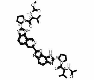 COC(=O)N[C@H](C(=O)N1CCC[C@H]1c1nc2ccc3cc(-c4nc5ccc6nc([C@@H]7CCCN7C(=O)[C@@H](NC(C)=O)C(C)C)[nH]c6c5o4)ncc3c2[nH]1)C(C)C